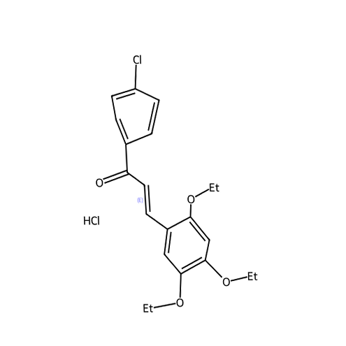 CCOc1cc(OCC)c(OCC)cc1/C=C/C(=O)c1ccc(Cl)cc1.Cl